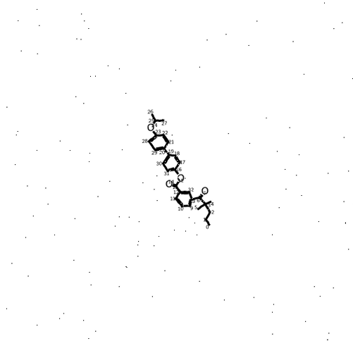 CCCC(C)(C)C(=O)c1cccc(C(=O)Oc2ccc(-c3ccc(OC(C)C)cc3)cc2)c1